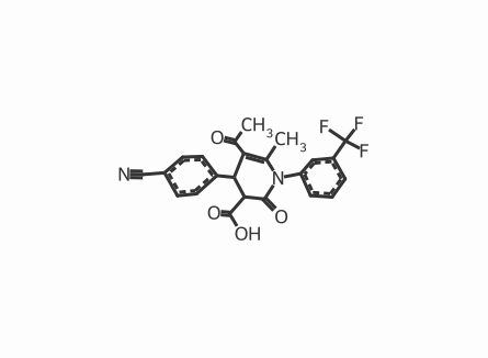 CC(=O)C1=C(C)N(c2cccc(C(F)(F)F)c2)C(=O)C(C(=O)O)C1c1ccc(C#N)cc1